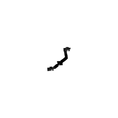 CCC[CH2][Zn][CH2]CC